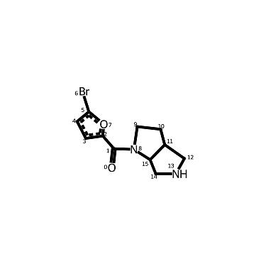 O=C(c1ccc(Br)o1)N1CCC2CNCC21